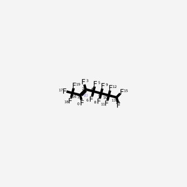 F/C(=C(/F)C(F)(F)C(F)(F)C(F)(F)C(F)F)C(F)(F)F